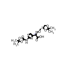 CC(C)(C)OC(=O)Nc1nc(/C(=N/OC[C@@H]2COC(C)(C)O2)C(=O)O)cs1